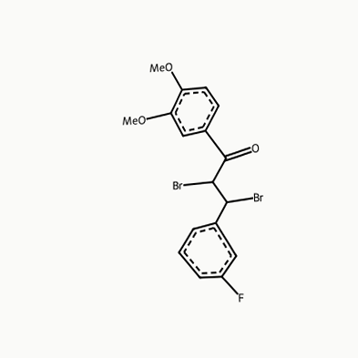 COc1ccc(C(=O)C(Br)C(Br)c2cccc(F)c2)cc1OC